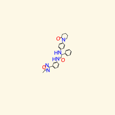 Cc1nc(-c2cccc(NC(=O)C(Nc3ccc(N4CCCCC4=O)cc3)c3ccccc3)c2)no1